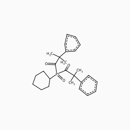 CC(C)(C(=O)P(=O)(C(=O)C(C)(C)c1ccccc1)C1CCCCC1)c1ccccc1